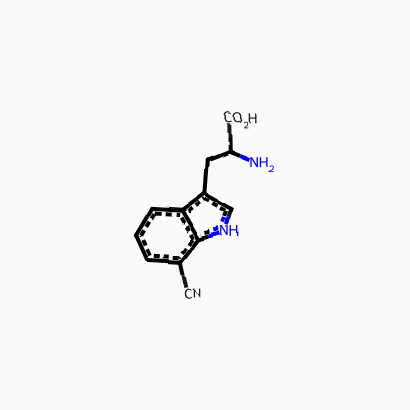 N#Cc1cccc2c(CC(N)C(=O)O)c[nH]c12